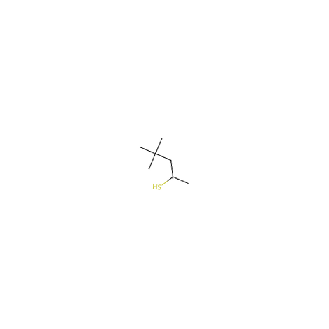 C[C](S)CC(C)(C)C